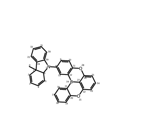 CC12C=CC=CC1N(c1ccc3c(c1)B1c4ccccc4Oc4cccc(c41)O3)c1ccccc12